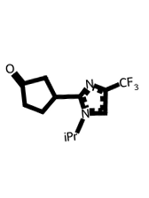 CC(C)n1cc(C(F)(F)F)nc1C1CCC(=O)C1